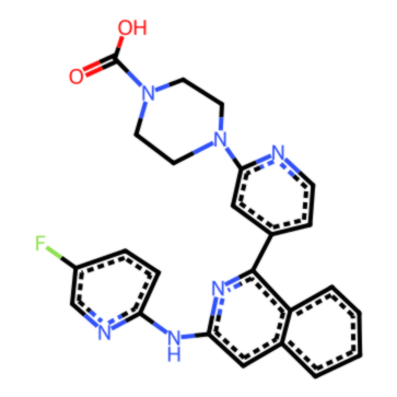 O=C(O)N1CCN(c2cc(-c3nc(Nc4ccc(F)cn4)cc4ccccc34)ccn2)CC1